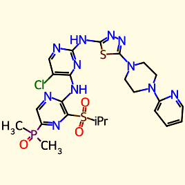 CC(C)S(=O)(=O)c1nc(P(C)(C)=O)cnc1Nc1nc(Nc2nnc(N3CCN(c4ccccn4)CC3)s2)ncc1Cl